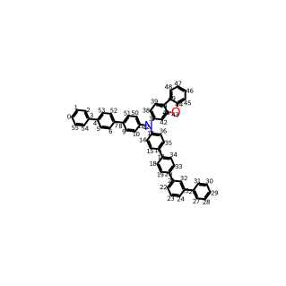 c1ccc(-c2ccc(-c3ccc(N(c4ccc(-c5ccc(-c6cccc(-c7ccccc7)c6)cc5)cc4)c4ccc5c(c4)oc4ccccc45)cc3)cc2)cc1